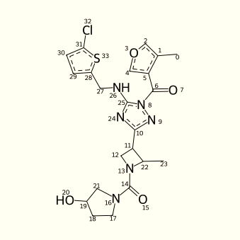 Cc1cocc1C(=O)n1nc(C2CN(C(=O)N3CCC(O)C3)C2C)nc1NCc1ccc(Cl)s1